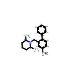 CC1CCCC(C)N1Cc1cc(C=O)ccc1-c1ccccc1